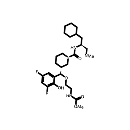 CNC[C@H](CC1CCCCC1)NC(=O)N1CCC[C@@H](C(OCCNC(=O)OC)c2cc(F)cc(F)c2O)C1